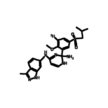 [2H]c1cc(S(=O)(=O)CC(C)C)cc(C2(N)N=C(Nc3ccc4c(C)n[nH]c4c3)C=CN2)c1OC